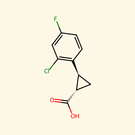 O=C(O)[C@H]1C[C@@H]1c1ccc(F)cc1Cl